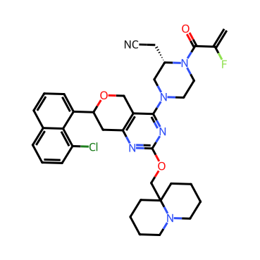 C=C(F)C(=O)N1CCN(c2nc(OCC34CCCCN3CCCC4)nc3c2COC(c2cccc4cccc(Cl)c24)C3)C[C@@H]1CC#N